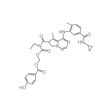 CCN(C(=O)OCOC(=O)c1ccc(O)cc1)C(=O)C1CN2N=CN=C(Nc3cc(C(=O)NC4CC4)ccc3C)C2=C1C